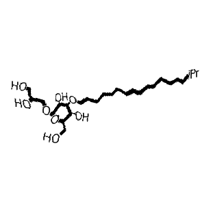 CC(C)CCCCCCCCCCCCCCCO[C@H]1[C@H](O)[C@@H](CO)OC(OCC(O)CO)[C@@H]1O